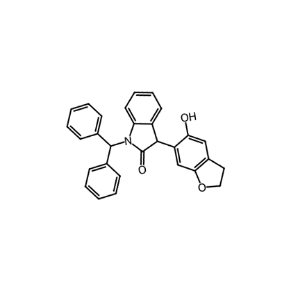 O=C1C(c2cc3c(cc2O)CCO3)c2ccccc2N1C(c1ccccc1)c1ccccc1